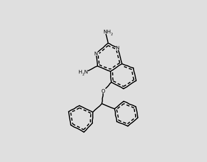 Nc1nc(N)c2c(OC(c3ccccc3)c3ccccc3)cccc2n1